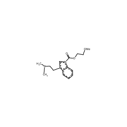 COCCOC(=O)n1cc(CCN(C)C)c2ccccc21